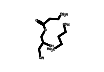 CCCCCCCCCCCCCC(=O)O.O=C(O)CCC(=O)OCC(O)CO